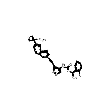 CC(OC(=O)Nc1cnoc1C#Cc1ccc2cc(C3(C(=O)O)COC3)ccc2c1)c1ccccc1Cl